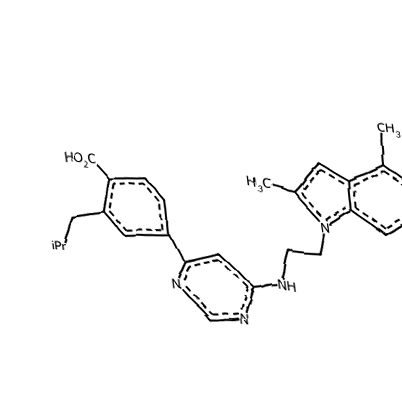 Cc1cccc2c1cc(C)n2CCNc1cc(-c2ccc(C(=O)O)c(CC(C)C)c2)ncn1